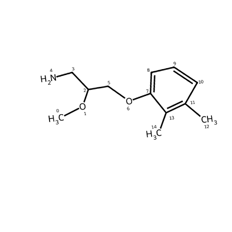 COC(CN)COc1cccc(C)c1C